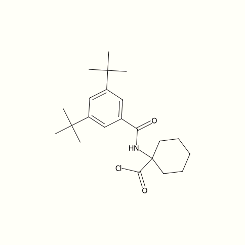 CC(C)(C)c1cc(C(=O)NC2(C(=O)Cl)CCCCC2)cc(C(C)(C)C)c1